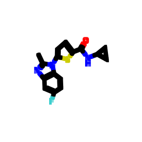 Cc1nc2cc(F)ccc2n1-c1ccc(C(=O)NC2CC2)s1